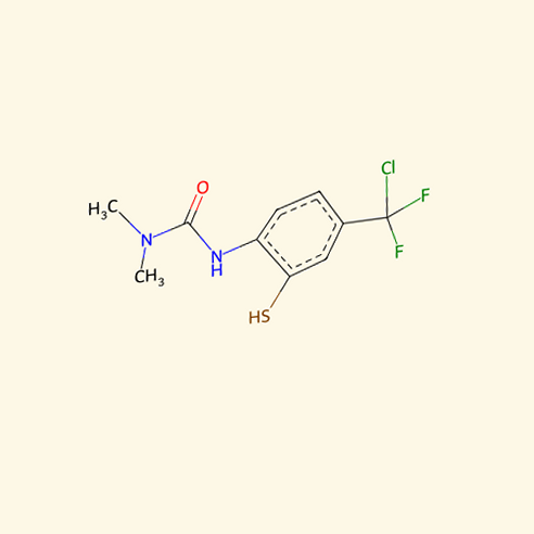 CN(C)C(=O)Nc1ccc(C(F)(F)Cl)cc1S